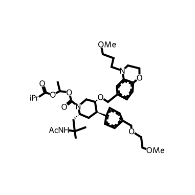 COCCCN1CCOc2ccc(CO[C@H]3CN(C(=O)OC(C)OC(=O)C(C)C)[C@@H](CC(C)(C)NC(C)=O)C[C@@H]3c3ccc(COCCOC)cc3)cc21